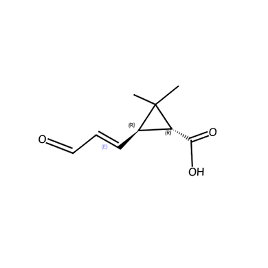 CC1(C)[C@H](/C=C/C=O)[C@H]1C(=O)O